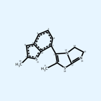 CC1=C(c2cccc3cc(C)sc23)N2CCN=C2S1